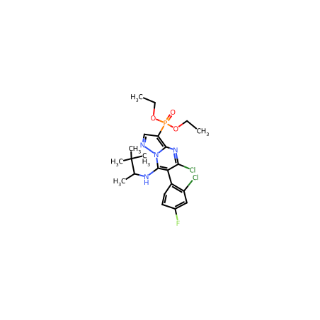 CCOP(=O)(OCC)c1cnn2c(NC(C)C(C)(C)C)c(-c3ccc(F)cc3Cl)c(Cl)nc12